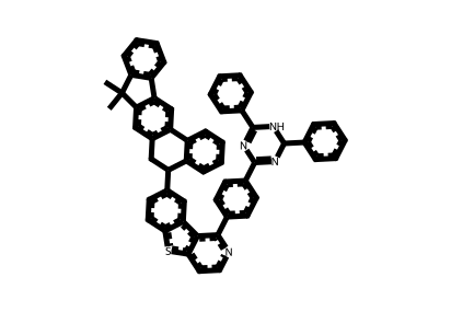 CC1(C)c2ccccc2-c2cc3c(cc21)CC(c1ccc2sc4ccnc(-c5ccc(C6=NC(c7ccccc7)NC(c7ccccc7)=N6)cc5)c4c2c1)c1ccccc1-3